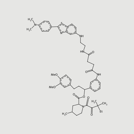 CCC(C)(C)C(=O)C(=O)N1CCC(C)CC1C(=O)OC(CCc1ccc(OC)c(OC)c1)c1cccc(NC(=O)CCC(=O)NCCNc2ccc3sc(-c4ccc(N(C)C)cc4)nc3c2)c1